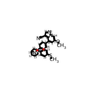 COc1cc(-c2ccc(N3CC4CC(C3)N4Cc3ccc(SC)cc3)nc2)c2c(C#N)cnn2c1